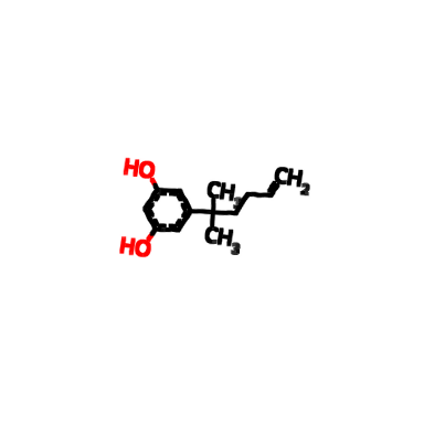 C=CCCC(C)(C)c1cc(O)cc(O)c1